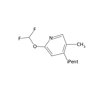 CCCC(C)c1cc(OC(F)F)ncc1C